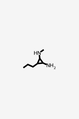 CCCC1C(N)C1NC